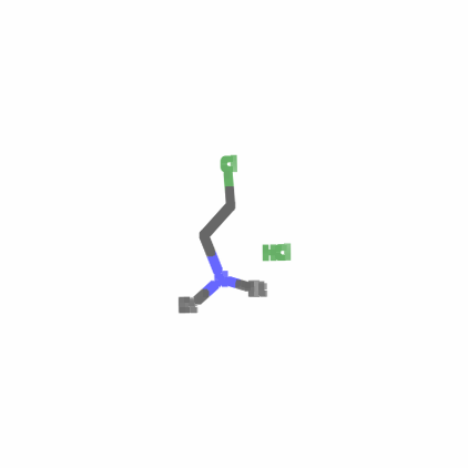 CCN(CC)CCCl.Cl